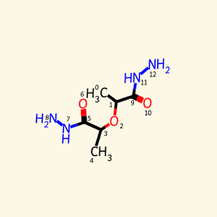 CC(OC(C)C(=O)NN)C(=O)NN